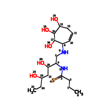 CCCC(=S)NC(CNC1C=CCC(O)C(O)C1O)C(O)CC(O)CC